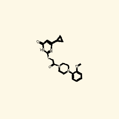 COc1ccccc1N1CCN(C(=O)CSc2nc(C3CC3)cc(=O)[nH]2)CC1